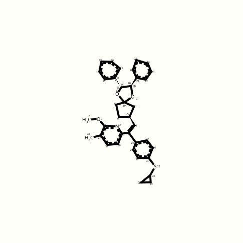 COc1nc(C(=C[C@H]2CCC3(C2)O[C@H](c2ccccc2)[C@@H](c2ccccc2)O3)c2ccc(SC3CC3)cc2)ccc1C